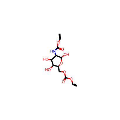 C=COC(=O)NC1C(O)OC(COC(=O)OC=C)C(O)C1O